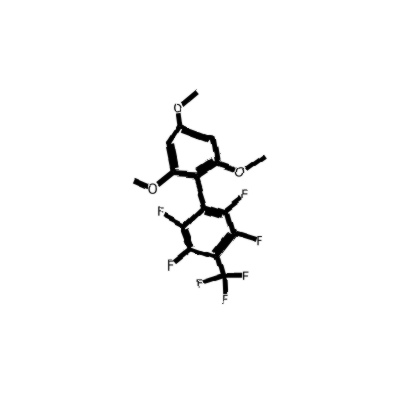 COc1cc(OC)c(-c2c(F)c(F)c(C(F)(F)F)c(F)c2F)c(OC)c1